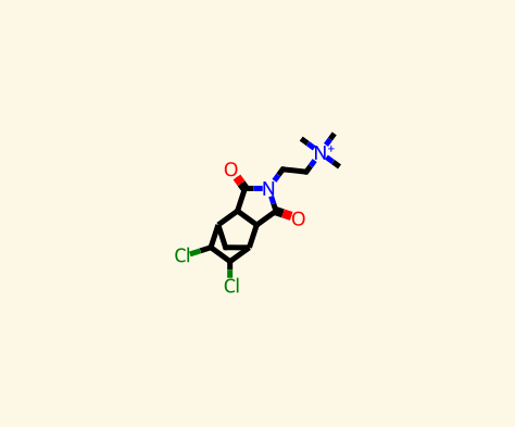 C[N+](C)(C)CCN1C(=O)C2C3CC(C(Cl)C3Cl)C2C1=O